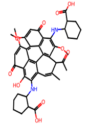 COc1c(NC2CCCCC2C(=O)O)c2c(=O)cc(OC)c3c4c(OC)cc(=O)c5c(O)c(NC6CCCCC6C(=O)O)c6c(c(c1C(C(C)=O)C(C)=C6)c23)c54